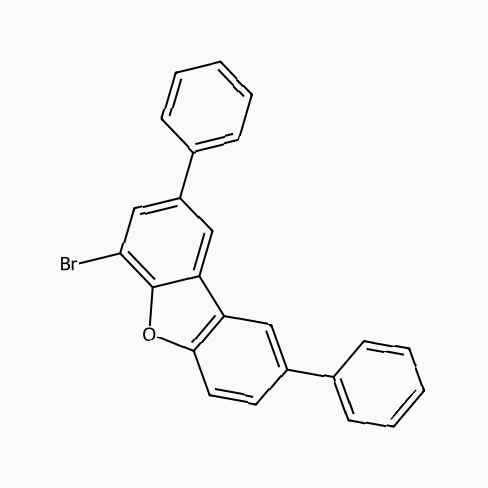 Brc1cc(-c2ccccc2)cc2c1oc1ccc(-c3ccccc3)cc12